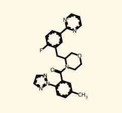 Cc1ccc(-n2nccn2)c(C(=O)N2CCOCC2Cc2cc(-c3ncccn3)ccc2F)c1